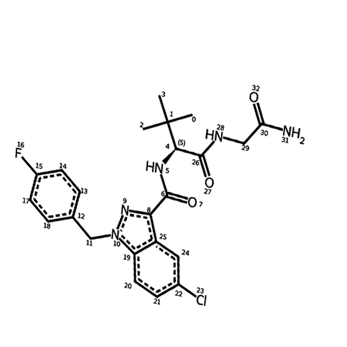 CC(C)(C)[C@H](NC(=O)c1nn(Cc2ccc(F)cc2)c2ccc(Cl)cc12)C(=O)NCC(N)=O